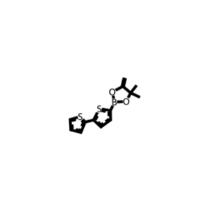 C=C1OB(c2ccc(-c3cccs3)s2)OC1(C)C